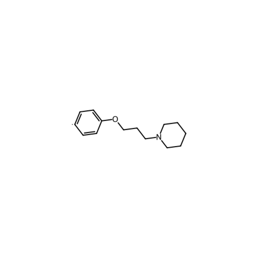 [c]1ccc(OCCCN2CCCCC2)cc1